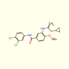 C=C(CC1CC1)Nc1cc(C(=O)Nc2ccc(Cl)c(Cl)c2)ccc1OCCCC